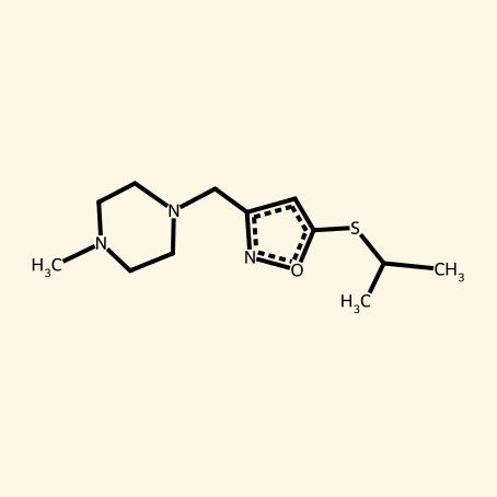 CC(C)Sc1cc(CN2CCN(C)CC2)no1